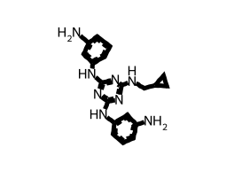 Nc1cccc(Nc2nc(NCC3CC3)nc(Nc3cccc(N)c3)n2)c1